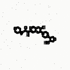 O=C(Nc1cc2cc(N3CCN(C4COCC4O)CC3)c(Cl)cc2cn1)C1CC12CCOCC2